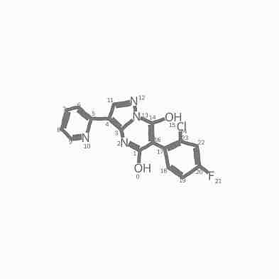 Oc1nc2c(-c3ccccn3)cnn2c(O)c1-c1ccc(F)cc1Cl